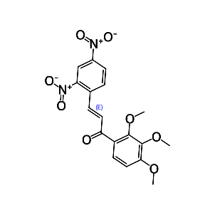 COc1ccc(C(=O)/C=C/c2ccc([N+](=O)[O-])cc2[N+](=O)[O-])c(OC)c1OC